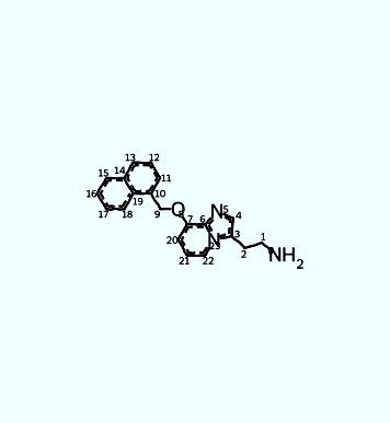 NCCc1cnc2c(OCc3cccc4ccccc34)cccn12